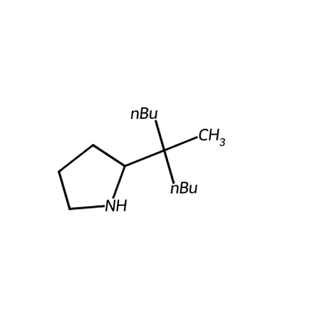 CCCCC(C)(CCCC)C1CCCN1